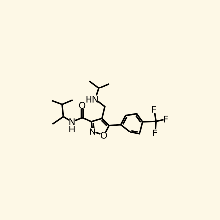 CC(C)NCc1c(C(=O)NC(C)C(C)C)noc1-c1ccc(C(F)(F)F)cc1